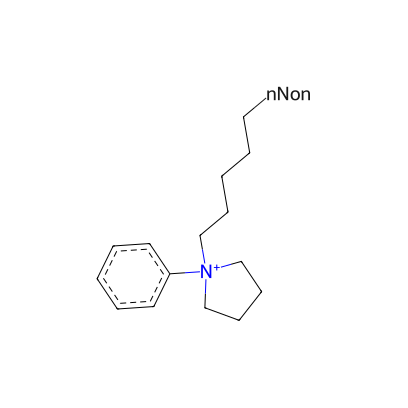 CCCCCCCCCCCCCC[N+]1(c2ccccc2)CCCC1